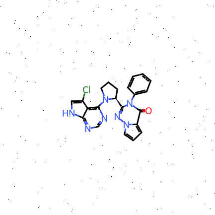 O=c1c2cccn2nc([C@@H]2CCCN2c2ncnc3[nH]cc(Cl)c23)n1-c1ccccc1